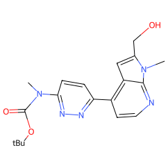 CN(C(=O)OC(C)(C)C)c1ccc(-c2ccnc3c2cc(CO)n3C)nn1